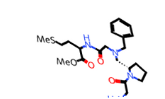 COC(=O)C(CCSC)NC(=O)CN(Cc1ccccc1)C[C@@H]1CCCN1C(=O)CN